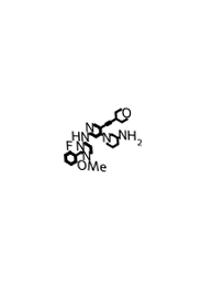 COc1cccc(F)c1-c1nccc(Nc2cc(N3CCC[C@H](N)C3)c(C#CC3CCOCC3)cn2)n1